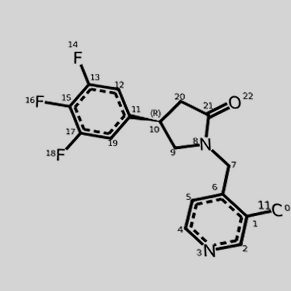 [11CH3]c1cnccc1CN1C[C@@H](c2cc(F)c(F)c(F)c2)CC1=O